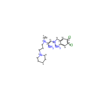 CCCN(CCCN1CCCCC1)/C(N)=C/N(N)Cc1ccc(Cl)c(Cl)c1